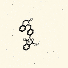 O=C(O)c1ccccc1C(=O)Nc1ccc(CN2C(=O)CCc3ccccc32)cc1